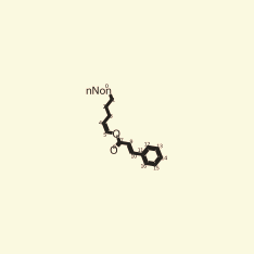 CCCCCCCCCCCC/C=C\OC(=O)C=Cc1ccccc1